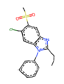 CCc1nc2cc(S(C)(=O)=O)c(Cl)cc2n1-c1c[c]ccc1